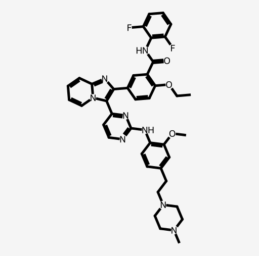 CCOc1ccc(-c2nc3ccccn3c2-c2ccnc(Nc3ccc(CCN4CCN(C)CC4)cc3OC)n2)cc1C(=O)Nc1c(F)cccc1F